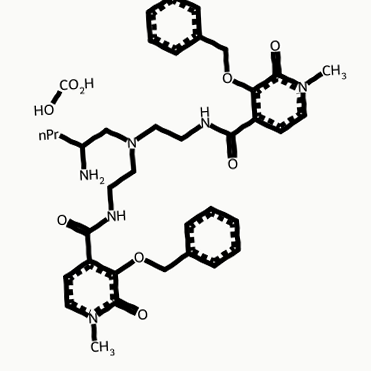 CCCC(N)CN(CCNC(=O)c1ccn(C)c(=O)c1OCc1ccccc1)CCNC(=O)c1ccn(C)c(=O)c1OCc1ccccc1.O=C(O)O